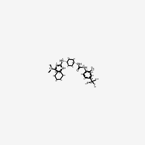 CN(C)c1nc(N[C@H]2CC[C@@H](NC(=O)Nc3ccc(C(F)(F)F)cc3Cl)CC2)nc2c1CCCC2